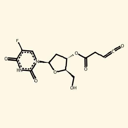 O=C=CCC(=O)O[C@H]1C[C@H](n2cc(F)c(=O)[nH]c2=O)O[C@@H]1CO